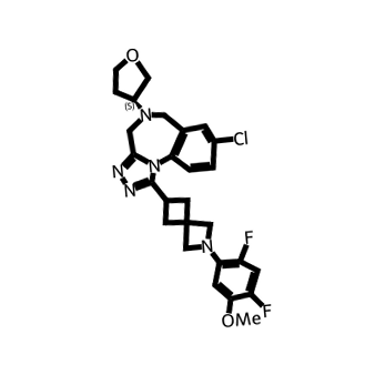 COc1cc(N2CC3(CC(c4nnc5n4-c4ccc(Cl)cc4CN([C@H]4CCOC4)C5)C3)C2)c(F)cc1F